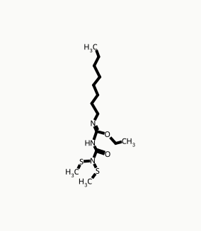 CCCCCCCCN=C(NC(=O)N(SC)SC)OCC